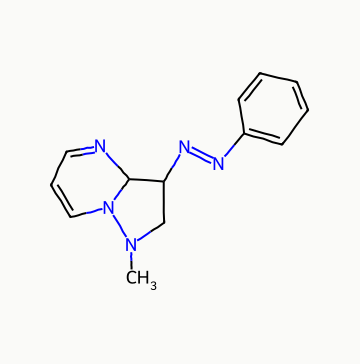 CN1CC(N=Nc2ccccc2)C2N=CC=CN21